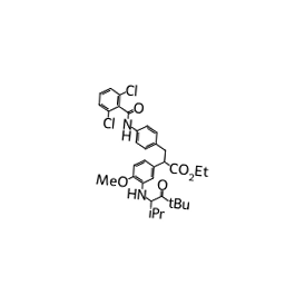 CCOC(=O)C(Cc1ccc(NC(=O)c2c(Cl)cccc2Cl)cc1)c1ccc(OC)c(NC(C(=O)C(C)(C)C)C(C)C)c1